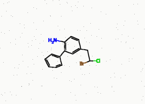 Nc1ccc(CC(Cl)Br)cc1-c1ccccc1